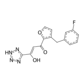 O=C(C=C(O)c1nn[nH]n1)c1occc1Cc1cccc(F)c1